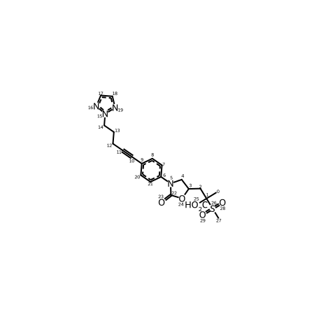 CC(CC1CN(c2ccc(C#CCCCn3nccn3)cc2)C(=O)O1)(C(=O)O)S(C)(=O)=O